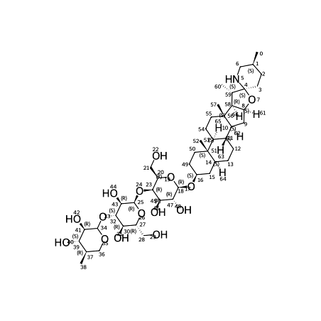 C[C@H]1CC[C@]2(NC1)O[C@H]1C[C@H]3[C@@H]4CC[C@H]5C[C@@H](O[C@@H]6O[C@H](CO)[C@H](O[C@H]7O[C@H](CO)[C@@H](O)[C@H](OC8OC[C@@H](C)[C@H](O)[C@H]8O)[C@H]7O)[C@H](O)[C@H]6O)CC[C@]5(C)[C@H]4CC[C@]3(C)[C@H]1[C@@H]2C